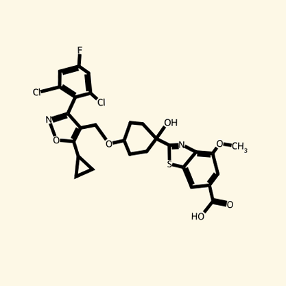 COc1cc(C(=O)O)cc2sc(C3(O)CCC(OCc4c(-c5c(Cl)cc(F)cc5Cl)noc4C4CC4)CC3)nc12